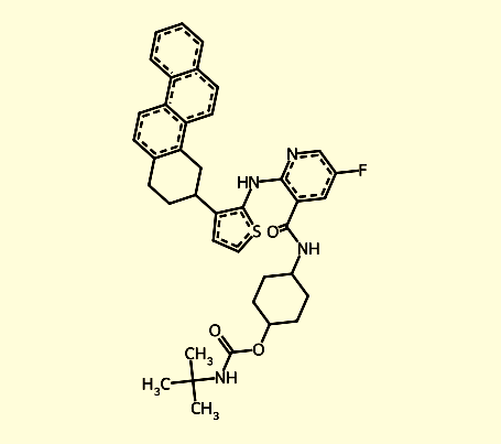 CC(C)(C)NC(=O)OC1CCC(NC(=O)c2cc(F)cnc2Nc2sccc2C2CCc3ccc4c(ccc5ccccc54)c3C2)CC1